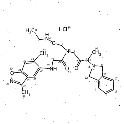 CCNCCN(CC(=O)N(C)N1Cc2ccccc2C1)C(=O)CNc1cc2c(C)noc2cc1C.Cl